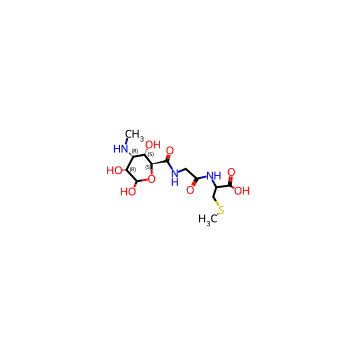 CN[C@@H]1[C@H](O)[C@@H](C(=O)NCC(=O)NC(CSC)C(=O)O)OC(O)[C@@H]1O